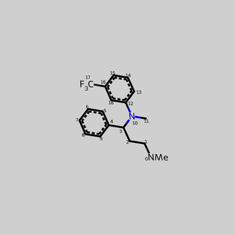 CNCCC(c1ccccc1)N(C)c1cccc(C(F)(F)F)c1